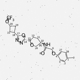 Cc1ccc(OCC(=O)N[C@@H]2CC[C@@H](c3nnc(C4CC(OC(F)(F)F)C4)o3)OC2)cc1